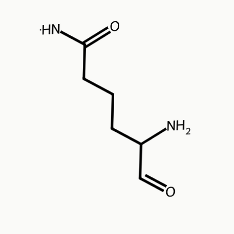 [NH]C(=O)CCCC(N)C=O